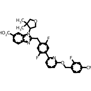 CC1(C)COCC1n1c(Cc2cc(F)c(-c3cccc(OCc4ccc(C#N)cc4F)n3)cc2F)nc2ccc(C(=O)O)cc21